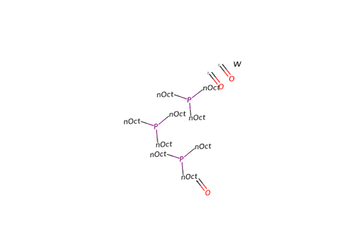 CCCCCCCCP(CCCCCCCC)CCCCCCCC.CCCCCCCCP(CCCCCCCC)CCCCCCCC.CCCCCCCCP(CCCCCCCC)CCCCCCCC.[C]=O.[C]=O.[C]=O.[W]